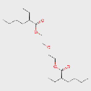 CCCCC(CC)C(=O)OCCOCCOC(=O)C(CC)CCCC